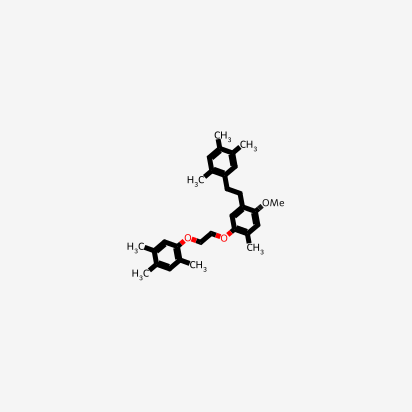 COc1cc(C)c(OCCOc2cc(C)c(C)cc2C)cc1CCc1cc(C)c(C)cc1C